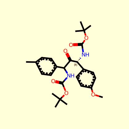 COc1ccc([C@@H](NC(=O)OC(C)(C)C)C(=O)C(NC(=O)OC(C)(C)C)c2ccc(C)cc2)cc1